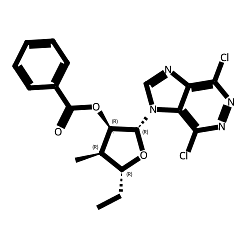 CC[C@H]1O[C@@H](n2cnc3c(Cl)nnc(Cl)c32)[C@H](OC(=O)c2ccccc2)[C@@H]1C